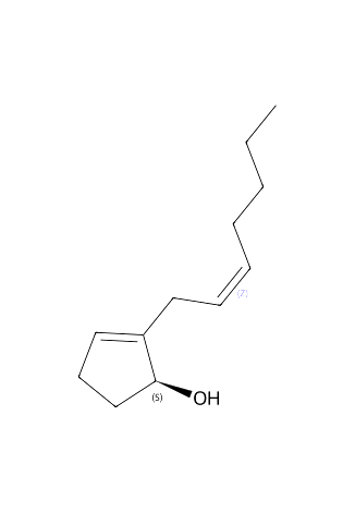 CCCC/C=C\CC1=CCC[C@@H]1O